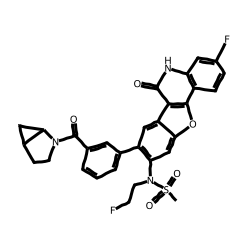 CS(=O)(=O)N(CCF)c1cc2oc3c4ccc(F)cc4[nH]c(=O)c3c2cc1-c1cccc(C(=O)N2CCC3CC32)c1